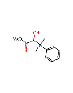 COC(=O)C(O)C(C)(C)c1ccccc1